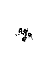 Cc1ccccc1CCC[C@H]([SiH2]c1ccccc1)[SiH](c1ccccc1)c1ccccc1